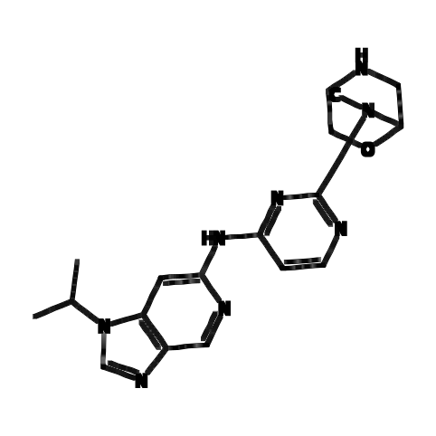 CC(C)n1cnc2cnc(Nc3ccnc(N4CC5COC(CN5)C4)n3)cc21